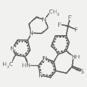 Cc1ncc(N2CCN(C)CC2)cc1Nc1ncc2c(n1)-c1ccc(C(F)(F)F)cc1NC(=S)C2